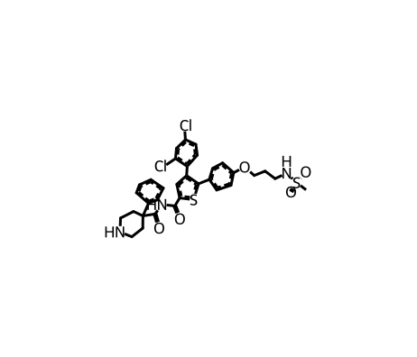 CS(=O)(=O)NCCCOc1ccc(-c2sc(C(=O)NC(=O)C3(c4ccccc4)CCNCC3)cc2-c2ccc(Cl)cc2Cl)cc1